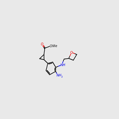 COC(=O)C1CC1c1ccc(N)c(NCC2CCO2)c1